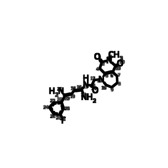 CN1C(=O)CC2=C(CCCCN2CC(=O)N/C(N)=C/C=C(\N)c2cccc(F)c2)C1=O